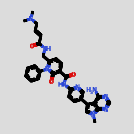 CN(C)CC=CC(=O)NCc1ccc(C(=O)Nc2ccc(-c3cn(C)c4ncnc(N)c34)cn2)c(=O)n1-c1ccccc1